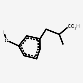 CC(Cc1cccc(OI)c1)C(=O)O